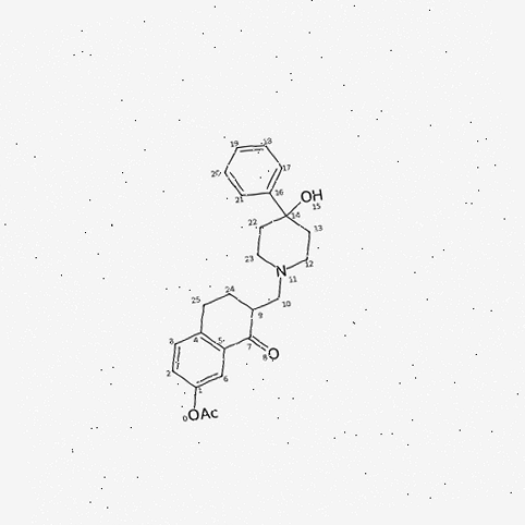 CC(=O)Oc1ccc2c(c1)C(=O)C(CN1CCC(O)(c3ccccc3)CC1)CC2